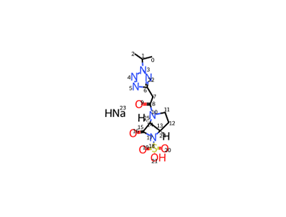 CC(C)n1nnc(CC(=O)N2CC[C@@H]3[C@H]2C(=O)N3S(=O)(=O)O)n1.[NaH]